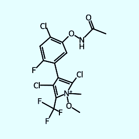 CO[N+]1(C)C(Cl)=C(c2cc(ONC(C)=O)c(Cl)cc2F)C(Cl)=C1C(F)(F)F